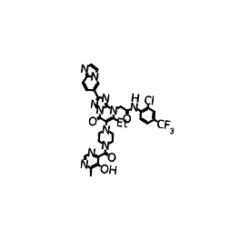 CCc1c(N2CCN(C(=O)c3ncnc(C)c3O)CC2)c(=O)n2nc(-c3ccc4nccn4c3)nc2n1CC(=O)Nc1ccc(C(F)(F)F)cc1Cl